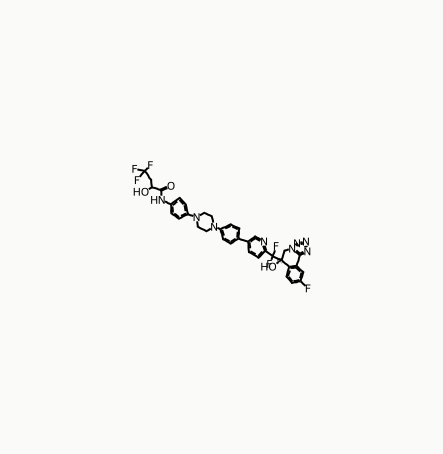 O=C(Nc1ccc(N2CCN(c3ccc(-c4ccc(C(F)(F)[C@]5(O)Cn6nnnc6-c6cc(F)ccc65)nc4)cc3)CC2)cc1)C(O)CC(F)(F)F